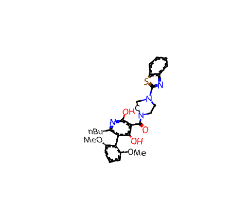 CCCCc1nc(O)c(C(=O)N2CCN(c3nc4ccccc4s3)CC2)c(O)c1-c1c(OC)cccc1OC